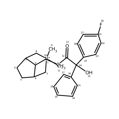 C[N+]1(C)CC2CCC(C1)C2COC(=O)C(O)(c1ccccc1)c1ccc(F)cc1